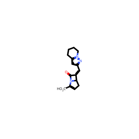 O=C(O)C1=CCC2C(=Cc3cc4n(n3)CCCC4)C(=O)N12